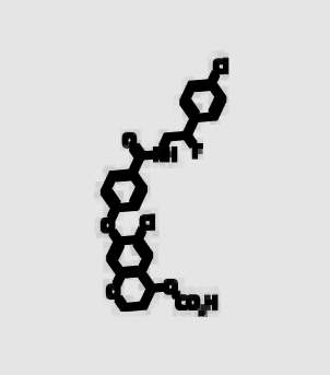 O=C(O)OC1CCOc2cc(Oc3ccc(C(=O)NCC(F)c4ccc(Cl)cc4)cc3)c(Cl)cc21